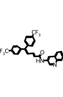 O=C(C=CC=C(c1ccc(C(F)(F)F)cc1)c1ccc(C(F)(F)F)cc1)Nc1cnc2ccccc2c1